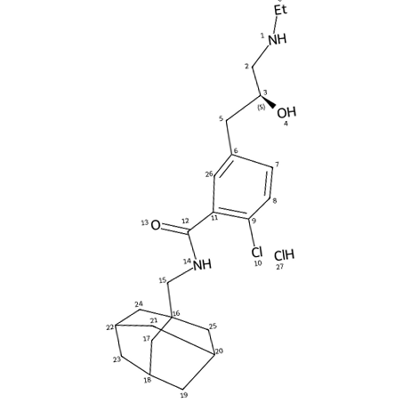 CCNC[C@@H](O)Cc1ccc(Cl)c(C(=O)NCC23CC4CC(CC(C4)C2)C3)c1.Cl